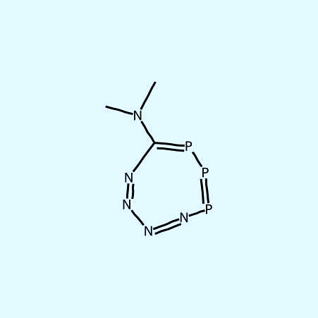 CN(C)C1=PP=PN=NN=N1